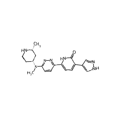 C[C@@H]1C[C@H](N(C)c2ccc(-c3ccc(-c4cn[nH]c4)c(=O)[nH]3)nn2)CCN1